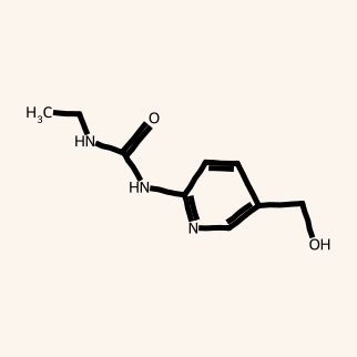 CCNC(=O)Nc1ccc(CO)cn1